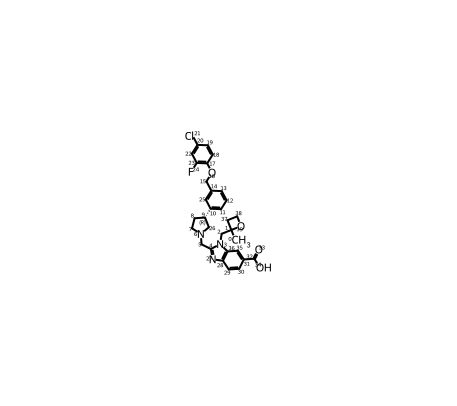 CC1(Cn2c(CN3CC[C@H](c4cccc(COc5ccc(Cl)cc5F)c4)C3)nc3ccc(C(=O)O)cc32)CCO1